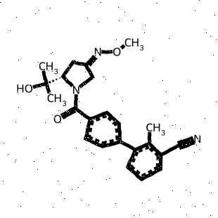 CO/N=C1/C[C@@H](C(C)(C)O)N(C(=O)c2ccc(-c3cccc(C#N)c3C)cc2)C1